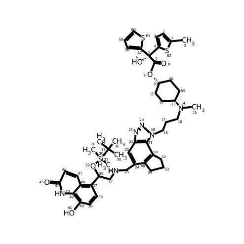 Cc1ccc([C@@](O)(C(=O)O[C@H]2CC[C@H](N(C)CCCn3nnc4cc(CNCC(O[Si](C)(C)C(C)(C)C)c5ccc(O)c6[nH]c(=O)ccc56)c5c(c43)CCC5)CC2)c2cccs2)s1